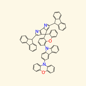 c1ccc2c(c1)Oc1ccccc1N2c1ccc2c(c1)c1ccccc1n2-c1cccc2c1Oc1ccccc1C21c2cc(C3c4ccccc4-c4ccccc43)cnc2-c2ncc(C3c4ccccc4-c4ccccc43)cc21